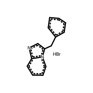 Br.c1ccc(Cc2cnc3ccccn23)cc1